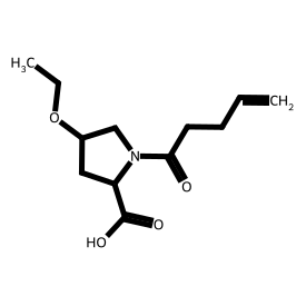 C=CCCC(=O)N1CC(OCC)CC1C(=O)O